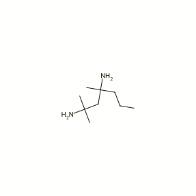 CCCC(C)(N)CC(C)(C)N